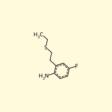 CCSCCc1cc(F)ccc1N